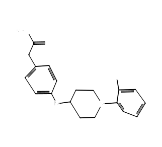 CCc1ccccc1N1CCC(Nc2ccc(CC(=O)OC)cc2)CC1